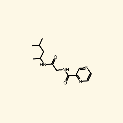 CC(C)CC(C)NC(=O)CNC(=O)c1cnccn1